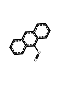 O=[S+]c1c2[c]cccc2cc2ccccc12